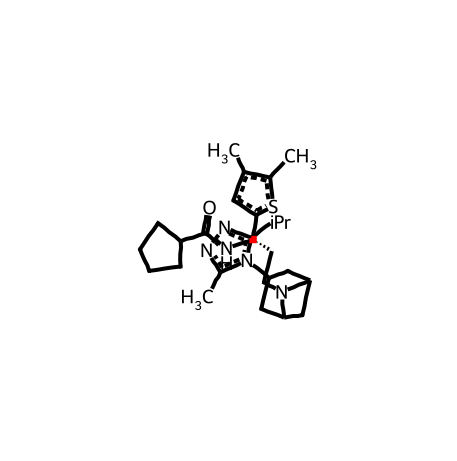 Cc1cc([C@H](CCN2C3CC2CC(n2c(C)nnc2C(C)C)C3)NC(=O)C2CCCC2)sc1C